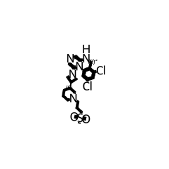 C[C@@H](Nc1cncc(N2CC([C@@H]3CCCN(CCCS(C)(=O)=O)C3)C2)n1)c1ccc(Cl)cc1Cl